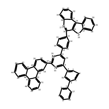 c1ccc(-c2cccc(-c3cc(-c4ccc(-c5nc6ccccc6c6c5sc5ccccc56)cc4)nc(-c4ccc5c6ccccc6c6ccccc6c5c4)n3)c2)cc1